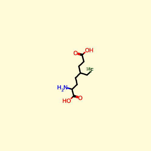 NC(CCC(C[18F])CCC(=O)O)C(=O)O